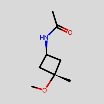 CO[C@]1(C)C[C@@H](NC(C)=O)C1